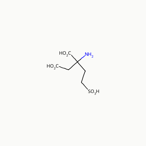 NC(CCS(=O)(=O)O)(CC(=O)O)C(=O)O